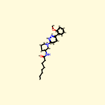 CCCCCCCC(=O)NC1CCCN(c2ccc(-c3ccccc3OC)nn2)C1